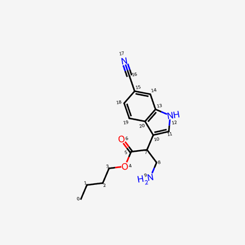 CCCCOC(=O)C(CN)c1c[nH]c2cc(C#N)ccc12